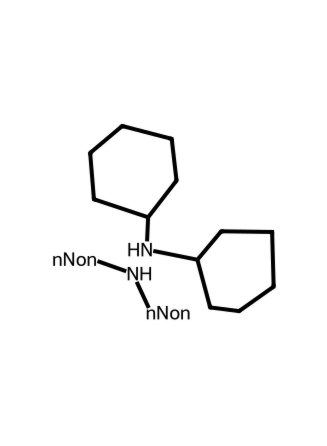 C1CCC(NC2CCCCC2)CC1.CCCCCCCCCNCCCCCCCCC